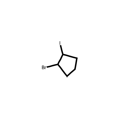 BrC1[CH]CCC1I